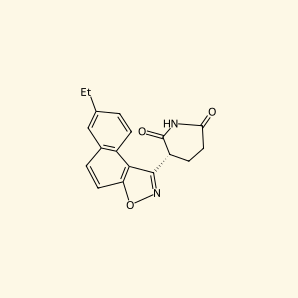 CCc1ccc2c(ccc3onc([C@H]4CCC(=O)NC4=O)c32)c1